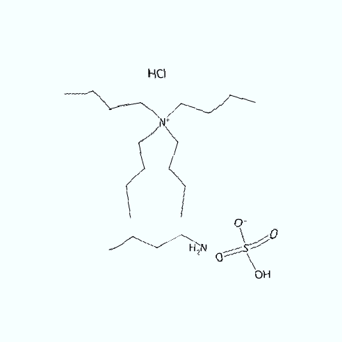 CCCCN.CCCC[N+](CCCC)(CCCC)CCCC.Cl.O=S(=O)([O-])O